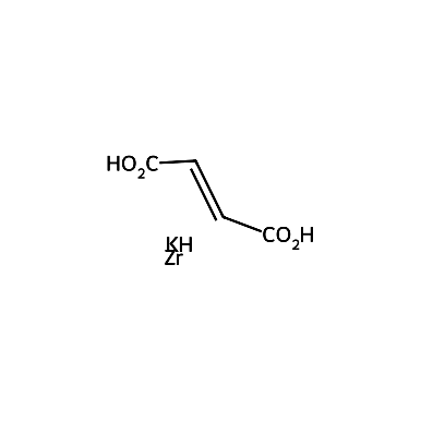 O=C(O)C=CC(=O)O.[KH].[Zr]